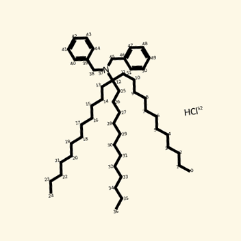 CCCCCCCCCCCCC(CCCCCCCCCCCC)(CCCCCCCCCCCC)N(Cc1ccccc1)Cc1ccccc1.Cl